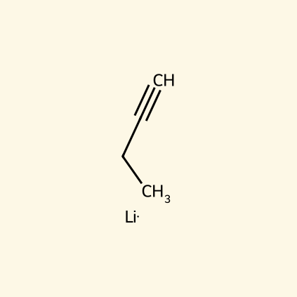 C#CCC.[Li]